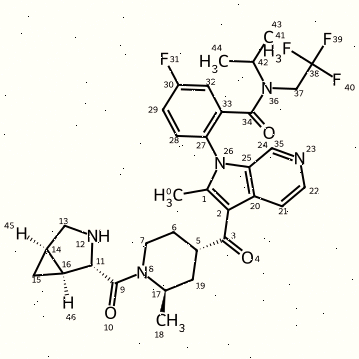 Cc1c(C(=O)[C@H]2CCN(C(=O)[C@H]3NC[C@@H]4C[C@@H]43)[C@H](C)C2)c2ccncc2n1-c1ccc(F)cc1C(=O)N(CC(F)(F)F)C(C)C